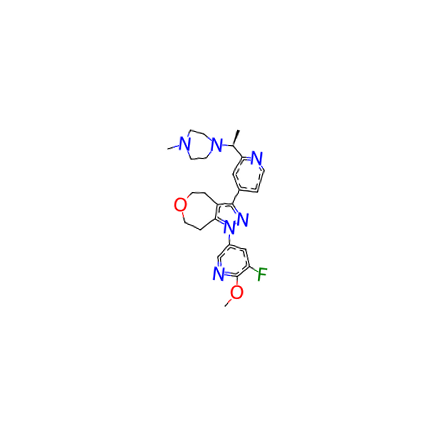 COc1ncc(-n2nc(-c3ccnc([C@H](C)N4CCN(C)CC4)c3)c3c2CCOCC3)cc1F